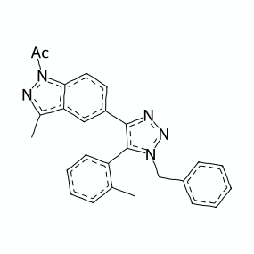 CC(=O)n1nc(C)c2cc(-c3nnn(Cc4ccccc4)c3-c3ccccc3C)ccc21